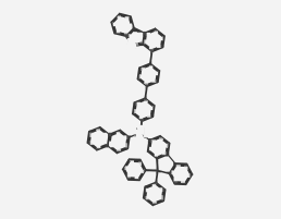 c1ccc(C2(c3ccccc3)c3ccccc3-c3ccc(N(c4ccc(-c5ccc(-c6cccc7c6oc6ccccc67)cc5)cc4)c4ccc5ccccc5c4)cc32)cc1